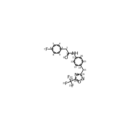 O=C(Cc1ccc(F)cc1)Nc1ccc(Cc2noc(C(F)(F)F)n2)cc1